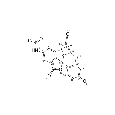 CCC(=O)Nc1ccc2c(c1)C(=O)OC21c2ccc(O)cc2OC2=CC(=O)C=CC21